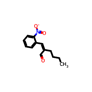 CCCCC(C=O)=Cc1ccccc1[N+](=O)[O-]